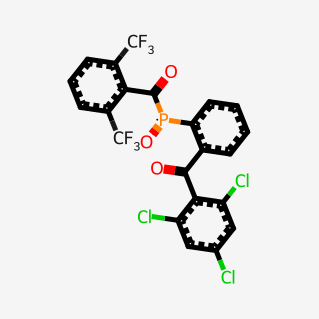 O=C(c1ccccc1[P](=O)C(=O)c1c(C(F)(F)F)cccc1C(F)(F)F)c1c(Cl)cc(Cl)cc1Cl